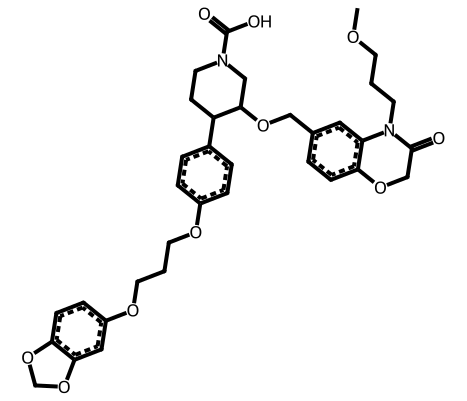 COCCCN1C(=O)COc2ccc(COC3CN(C(=O)O)CCC3c3ccc(OCCCOc4ccc5c(c4)OCO5)cc3)cc21